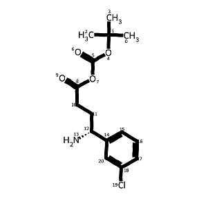 CC(C)(C)OC(=O)OC(=O)CC[C@@H](N)c1cccc(Cl)c1